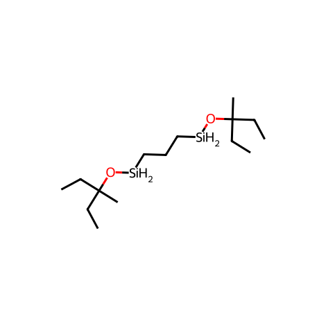 CCC(C)(CC)O[SiH2]CCC[SiH2]OC(C)(CC)CC